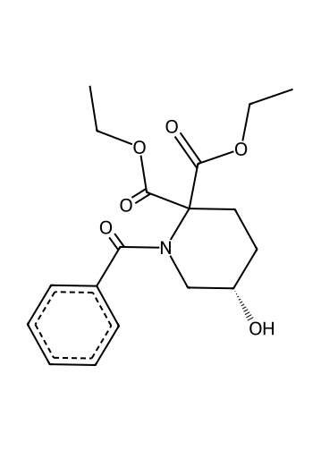 CCOC(=O)C1(C(=O)OCC)CC[C@H](O)CN1C(=O)c1ccccc1